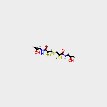 CC(O)CNC(=O)C(S)CSCC(S)C(=O)NCC(C)O